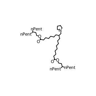 CCCCCC(CCCCC)CCOC(=O)CCCCCCCCC(CCCCCCC(=O)OCCC(CCCCC)CCCCC)CN1CCCC1